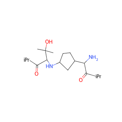 CC(C)C(=O)C(N)C1CCC(NC(C(=O)C(C)C)C(C)(C)O)C1